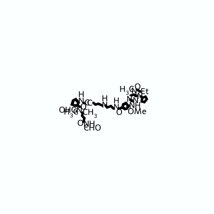 CCC1C(=O)N(C)c2cnc(Nc3ccc(C(=O)NCCCNCCCCCCC(=O)Nc4cccc(C=O)c4CN(C)C(C)CCC(=O)NC=O)cc3OC)nc2N1C1CCCC1